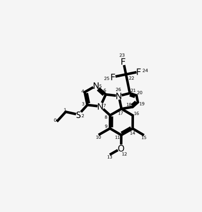 CCSc1cnc2n1C1=C(C)C(OC)=C(C)CC13C=CC=C(C(F)(F)F)N23